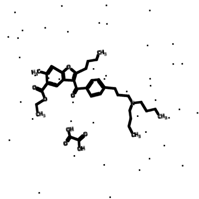 CCCCc1oc2cc(C)c(C(=O)OCC)cc2c1C(=O)c1ccc(CCCN(CCCC)CCCC)cc1.O=C(O)C(=O)O